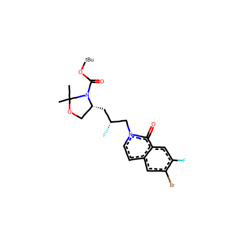 CC(C)(C)OC(=O)N1[C@H](C[C@@H](F)Cn2ccc3cc(Br)c(F)cc3c2=O)COC1(C)C